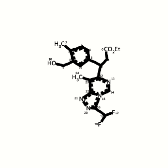 CCOC(=O)CC(c1ccc(C)c(CO)c1)c1ncn2c(C(F)F)nnc2c1C